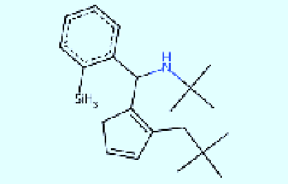 CC(C)(C)CC1=C(C(NC(C)(C)C)c2ccccc2[SiH3])CC=C1